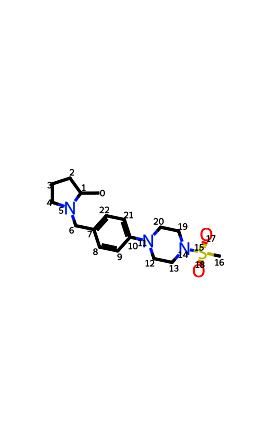 CC1CCCN1Cc1ccc(N2CCN(S(C)(=O)=O)CC2)cc1